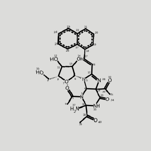 CC(=O)N1C2N([C@@H]3O[C@H](CO)C(O)C3O)C(C=Cc3cccc4ccccc34)=NC2(C(C)=O)C(=O)NC1(N)C(C)=O